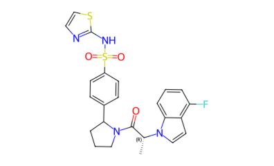 C[C@H](C(=O)N1CCCC1c1ccc(S(=O)(=O)Nc2nccs2)cc1)n1ccc2c(F)cccc21